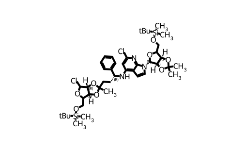 CC1(C)O[C@@H]2[C@H](O1)C(CO[Si](C)(C)C(C)(C)C)O[C@H]2n1ccc2c(N[C@H](CCC3(C)O[C@@H]4C(CO[Si](C)(C)C(C)(C)C)OC(Cl)[C@@H]4O3)c3ccccc3)cc(Cl)nc21